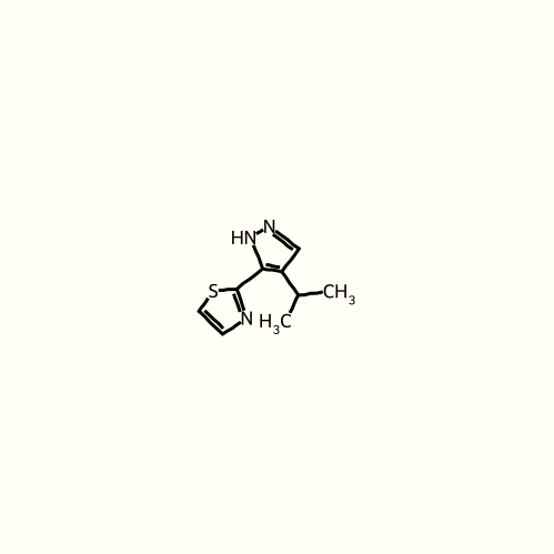 CC(C)c1cn[nH]c1-c1nccs1